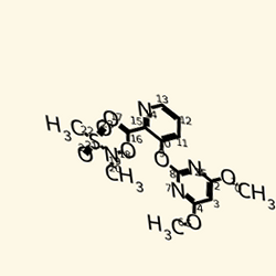 COc1cc(OC)nc(Oc2cccnc2C(=O)ON(C)S(C)(=O)=O)n1